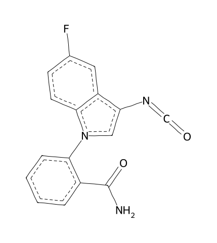 NC(=O)c1ccccc1-n1cc(N=C=O)c2cc(F)ccc21